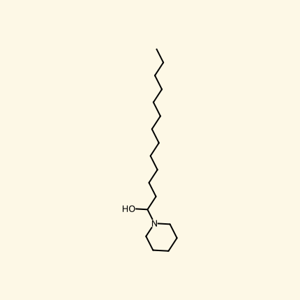 CCCCCCCCCCCCC(O)N1CCCCC1